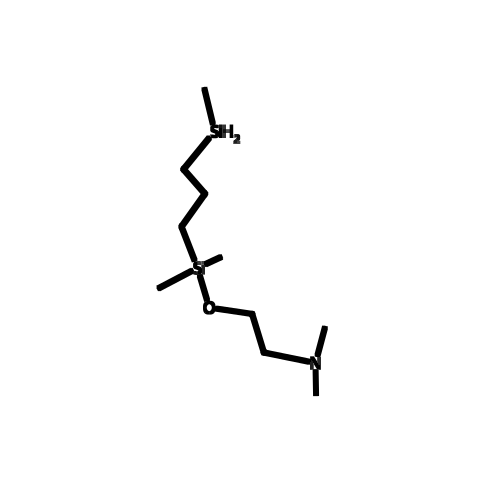 C[SiH2]CCC[Si](C)(C)OCCN(C)C